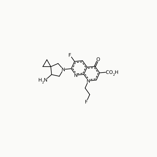 NC1CN(c2nc3c(cc2F)c(=O)c(C(=O)O)cn3CCF)CC12CC2